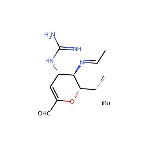 C/C=N/[C@H]1[C@H]([C@H](C)[C@H](C)CC)OC(C=O)=C[C@@H]1NC(=N)N